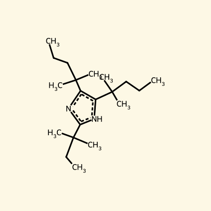 CCCC(C)(C)c1nc(C(C)(C)CC)[nH]c1C(C)(C)CCC